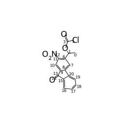 CC(OC(=O)Cl)c1cc2c(cc1[N+](=O)[O-])C(=O)c1ccccc1-2